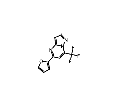 FC(F)(F)c1cc(-c2ccco2)nc2c[c]nn12